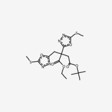 CCOC(=O)C(CC(=O)OC(C)(C)C)(Cc1nnc(SC)o1)c1nnc(SC)o1